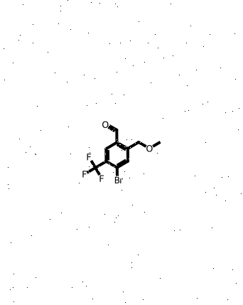 COCc1cc(Br)c(C(F)(F)F)cc1C=O